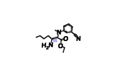 CCCC/C(N)=C(/C(=O)OCC)N(C)c1cccc(C#N)c1